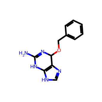 NC1=NC(OCc2ccccc2)c2nc[nH]c2N1